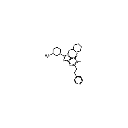 Cn1c(CCc2ccccc2)nc2nc(N3CCCC(N)C3)n(CC3CCCCC3)c2c1=O